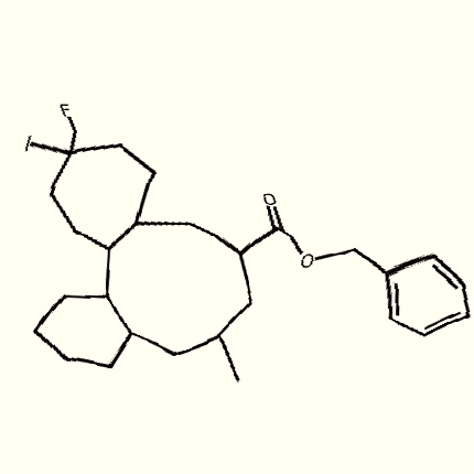 CC1CC(C(=O)OCc2ccccc2)CC2CCC(F)(I)CCC2C2CCCCC2C1